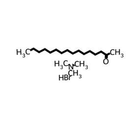 Br.CCCCCCCCCCCCCCC(C)=O.CN(C)C